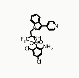 Nc1cc(Cl)cc(Cl)c1S(=O)(=O)NC(Cn1cc(-c2ccncc2)c2ccccc21)C(F)(F)F